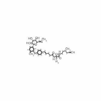 C#CCN(C)CCNC(=O)C(C)(C)NC(=O)CC/C=C/c1ccc(Cc2cc([C@@H]3OC(C#SC)[C@@H](O)[C@H](O)[C@H]3O)ccc2C)cc1